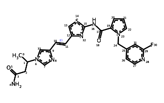 CC(CC(N)=O)n1cnc(/C=C/c2csc(NC(=O)c3cccn3Cc3ccnc(F)c3)n2)c1